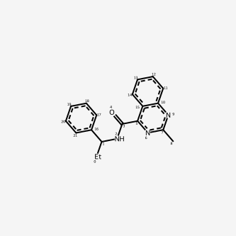 CCC(NC(=O)c1nc(C)nc2ccccc12)c1ccccc1